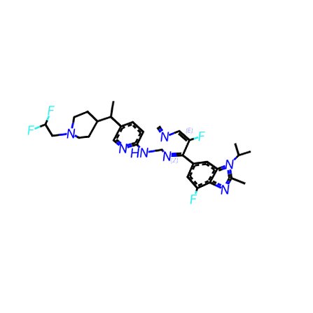 C=N/C=C(F)\C(=N/CNc1ccc(C(C)C2CCN(CC(F)F)CC2)cn1)c1cc(F)c2nc(C)n(C(C)C)c2c1